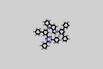 c1ccc(-c2cc(-c3ccccc3)cc(-n3ccc4c3ccc3c5ccccc5n(-c5cc(-c6ccccc6)cc(-c6nc(-c7ccccc7)nc(-c7ccccc7)n6)c5)c34)c2)cc1